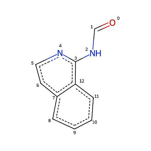 O=CNc1nccc2ccccc12